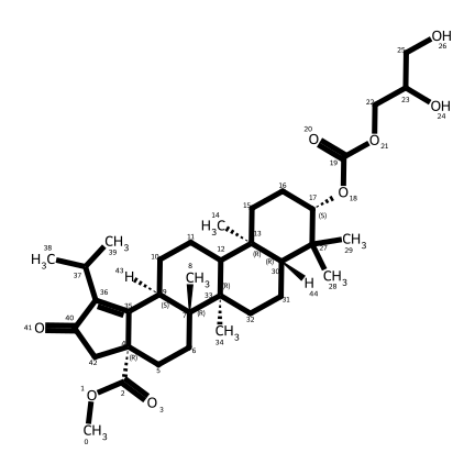 COC(=O)[C@@]12CC[C@]3(C)[C@H](CCC4[C@@]5(C)CC[C@H](OC(=O)OCC(O)CO)C(C)(C)[C@@H]5CC[C@]43C)C1=C(C(C)C)C(=O)C2